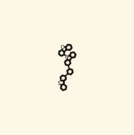 c1cc(-c2ccc3sc4ccccc4c3c2)cc(-c2ccc3c(c2)c2ccccc2n3-c2cccc3oc4ccccc4c23)c1